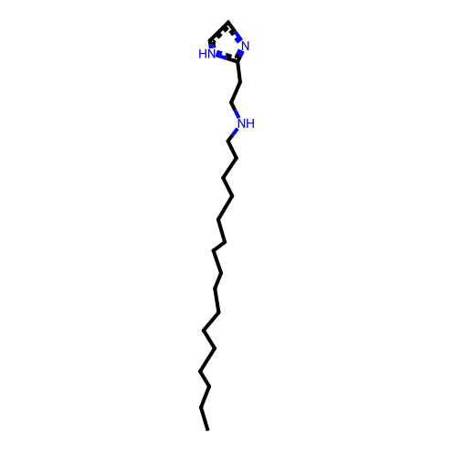 CCCCCCCCCCCCCCCCNCCc1ncc[nH]1